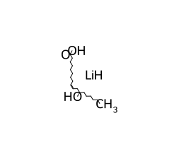 CCCCCC[C@@H](O)C/C=C\CCCCCCCC(=O)O.[LiH]